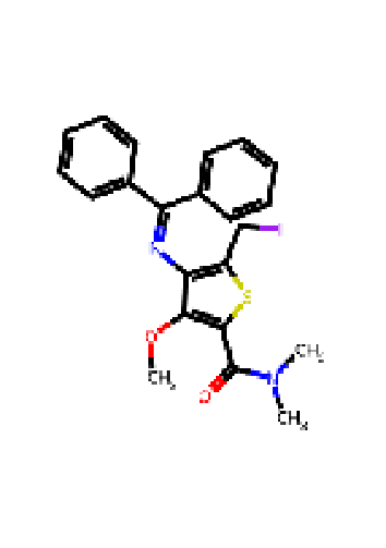 COc1c(C(=O)N(C)C)sc(CI)c1N=C(c1ccccc1)c1ccccc1